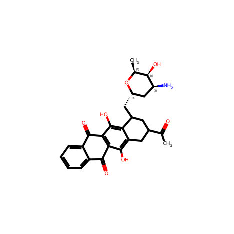 CC(=O)C1Cc2c(O)c3c(c(O)c2C(C[C@H]2C[C@H](N)[C@H](O)[C@H](C)O2)C1)C(=O)c1ccccc1C3=O